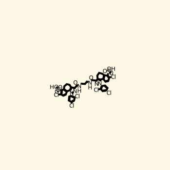 O=C(NCCCNC(=O)c1nn(-c2ccc(Cl)cc2Cl)c2c1CCCc1c-2ccc(Cl)c1S(=O)(=O)O)c1nn(-c2ccc(Cl)cc2Cl)c2c1CCCc1c-2ccc(Cl)c1S(=O)(=O)O